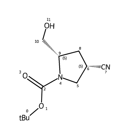 CC(C)(C)OC(=O)N1C[C@@H](C#N)C[C@H]1CO